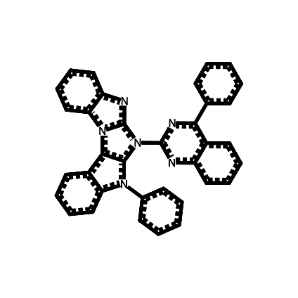 c1ccc(-c2nc(-n3c4c(c5ccccc5n4-c4ccccc4)n4c5ccccc5nc34)nc3ccccc23)cc1